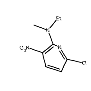 CCN(C)c1nc(Cl)ccc1[N+](=O)[O-]